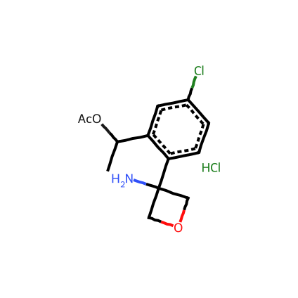 CC(=O)OC(C)c1cc(Cl)ccc1C1(N)COC1.Cl